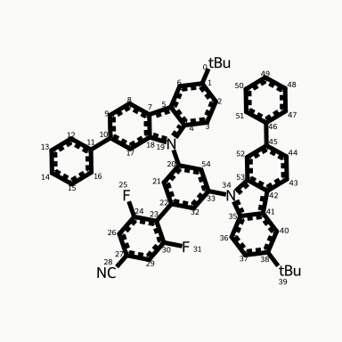 CC(C)(C)c1ccc2c(c1)c1ccc(-c3ccccc3)cc1n2-c1cc(-c2c(F)cc(C#N)cc2F)cc(-n2c3ccc(C(C)(C)C)cc3c3ccc(-c4ccccc4)cc32)c1